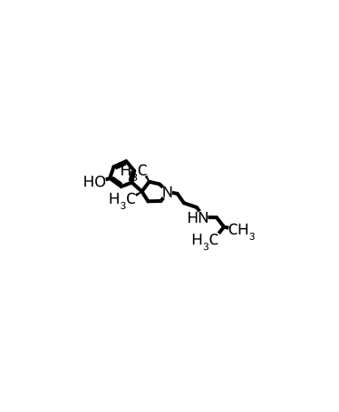 CC(C)CNCCCN1CC[C@](C)(c2cccc(O)c2)[C@@H](C)C1